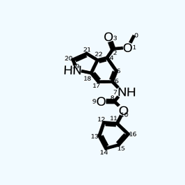 COC(=O)c1cc(NC(=O)Oc2ccccc2)cc2[nH]ccc12